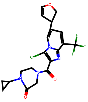 O=C(c1nc2c(C(F)(F)F)cc(C3C=COC3)cn2c1Cl)N1CCN(C2CC2)C(=O)C1